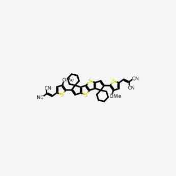 COc1cc(C=C(C#N)C#N)sc1C1=Cc2sc3c4c(sc3c2C12CCCCC2)C=C(c1sc(C=C(C#N)C#N)cc1OC)C41CCCCC1